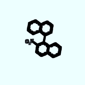 O=[N+]([O-])c1ccc2ccccc2c1-c1cccc2ccccc12